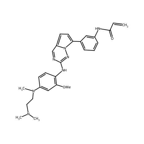 C=CC(=O)Nc1cccc(-c2ccc3cnc(Nc4ccc(N(C)CCN(C)C)cc4OC)nn23)c1